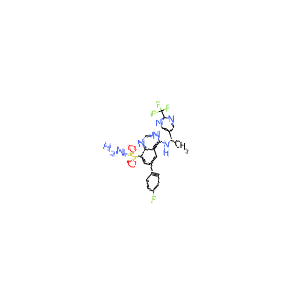 CC(Nc1ncnc2c(S(N)(=O)=O)cc(-c3ccc(F)cc3)cc12)c1cnc(C(F)(F)F)nc1